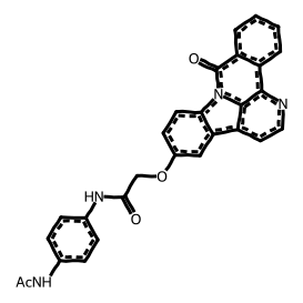 CC(=O)Nc1ccc(NC(=O)COc2ccc3c(c2)c2ccnc4c5ccccc5c(=O)n3c24)cc1